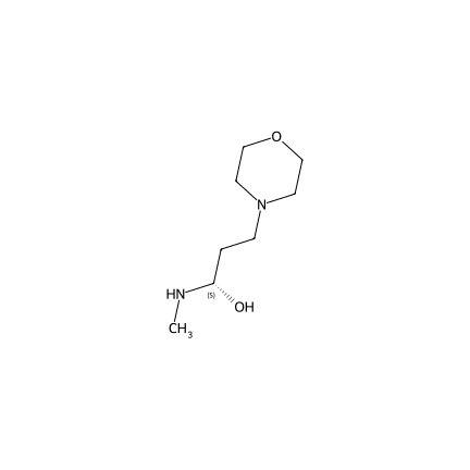 CN[C@@H](O)CCN1CCOCC1